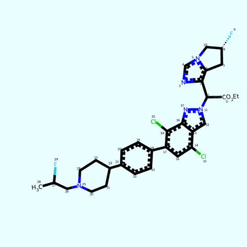 CCOC(=O)C(c1ncn2c1C[C@@H](F)C2)n1cc2c(Cl)cc(-c3ccc(C4CCN(CC(C)F)CC4)cc3)c(Cl)c2n1